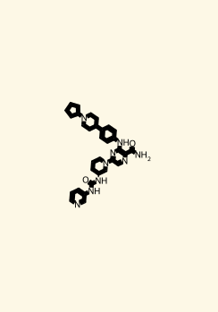 NC(=O)c1ncc(N2CCC[C@@H](NC(=O)Nc3cccnc3)C2)nc1Nc1ccc(C2CCN(C3CCCC3)CC2)cc1